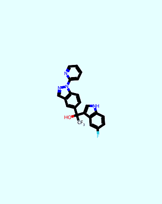 OC(c1ccc2c(cnn2-c2ccccn2)c1)(c1c[nH]c2ccc(F)cc12)C(F)(F)F